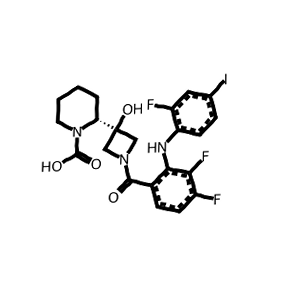 O=C(c1ccc(F)c(F)c1Nc1ccc(I)cc1F)N1CC(O)([C@H]2CCCCN2C(=O)O)C1